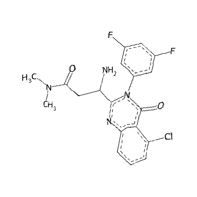 CN(C)C(=O)CC(N)c1nc2cccc(Cl)c2c(=O)n1-c1cc(F)cc(F)c1